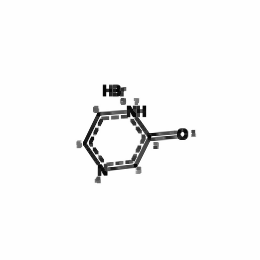 Br.O=c1cncc[nH]1